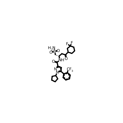 NS(=O)(=O)C[C@H](CC(=O)C1CCCC(F)(F)C1)NC(=O)c1cc(-c2ccccc2C(F)(F)F)n(C2CCCC2)n1